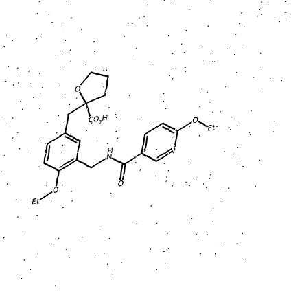 CCOc1ccc(C(=O)NCc2cc(CC3(C(=O)O)CCCO3)ccc2OCC)cc1